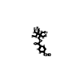 O=Cc1ccc(C(=O)OCC(CF)(CF)C(CF)(CF)CF)cc1